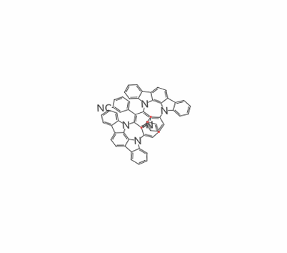 N#Cc1cccc(-c2c(-n3c4ccccc4c4ccc5c6ccccc6n(-c6ccccc6)c5c43)cncc2-n2c3ccccc3c3ccc4c5ccccc5n(-c5ccccc5)c4c32)c1